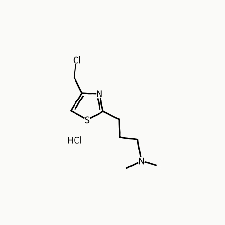 CN(C)CCCc1nc(CCl)cs1.Cl